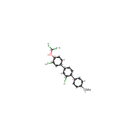 COc1ccc(-c2ccc(-c3ccc(OC(F)F)c(F)c3)cc2F)cc1